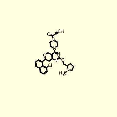 C#CC(=O)N1CCN(c2nc(OCC3CCCN3C)nc3c2COC(c2cccc4cccc(Cl)c24)C3)CC1